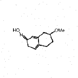 COC1CCC2=CCC(=NO)C=C2C1